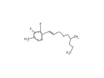 CCCC(C)CCCC=Cc1ccc(C)c(F)c1F